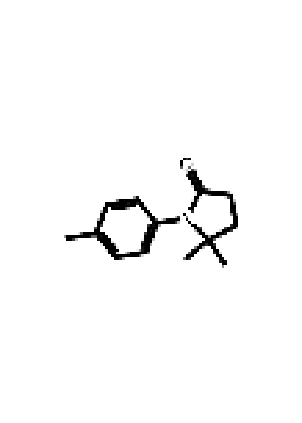 Cc1ccc(N2C(=O)CCC2(C)C)cc1